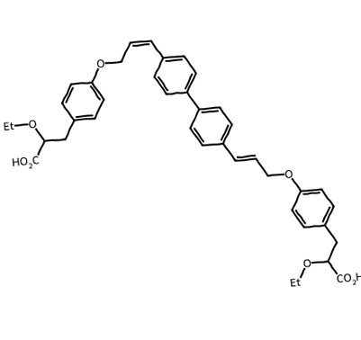 CCOC(Cc1ccc(OC/C=C\c2ccc(-c3ccc(/C=C/COc4ccc(CC(OCC)C(=O)O)cc4)cc3)cc2)cc1)C(=O)O